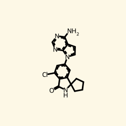 Nc1ncnc2c1ccn2-c1cc(Cl)c2c(c1)C1(CCCC1)NC2=O